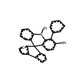 CC(C)c1ccc2c(c1-c1ccccc1)N(C(C)C)c1ccccc1C21c2ccccc2-c2ccccc21